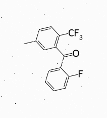 Cc1ccc(C(F)(F)F)c(C(=O)c2ccccc2F)c1